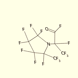 O=C(F)C(F)(N1C(F)(F)C(F)(F)C(F)(F)C1(F)C(F)(F)F)C(F)(F)F